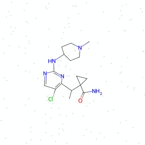 CC(c1nc(NC2CCN(C)CC2)ncc1Cl)C1(C(N)=O)CC1